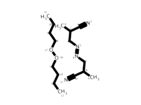 CC(C#N)CN=NCC(C)C#N.CCCCOOCCCC